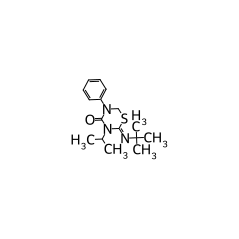 CC(C)N1C(=O)N(c2ccccc2)CS/C1=N\C(C)(C)C